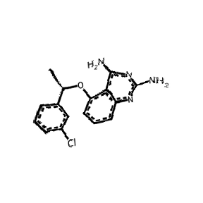 C[C@@H](Oc1cccc2nc(N)nc(N)c12)c1cccc(Cl)c1